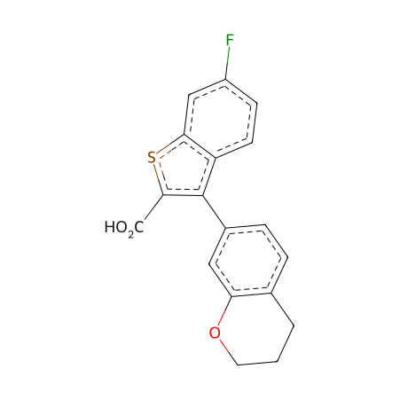 O=C(O)c1sc2cc(F)ccc2c1-c1ccc2c(c1)OCCC2